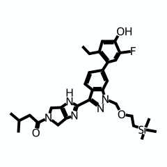 CCc1cc(O)c(F)cc1-c1ccc2c(-c3nc4c([nH]3)CN(C(=O)CC(C)C)C4)nn(COCC[Si](C)(C)C)c2c1